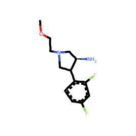 COCCN1CC(c2ccc(F)cc2F)[C@H](N)C1